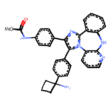 COC(=O)Nc1ccc(-c2nc3n(c2-c2ccc(C4(N)CCC4)cc2)-c2cccnc2Nc2ccccc2-3)cc1